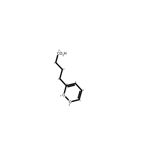 O=C(O)CCCC1=CC=COO1